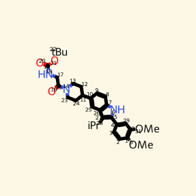 COc1ccc(-c2[nH]c3ccc(C4CCN(C(=O)CNC(=O)OC(C)(C)C)CC4)cc3c2C(C)C)cc1OC